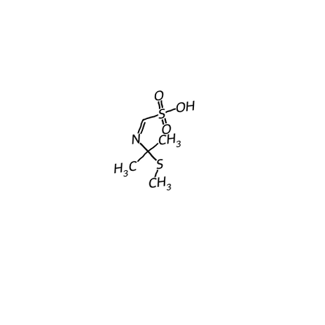 CSC(C)(C)/N=C\S(=O)(=O)O